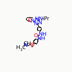 CC(C)Nc1nc(-c2ccc(NC(=O)Nc3ccc(OCCN(C)C)cc3)cc2)nc(N2CC3CCC(C2)O3)n1